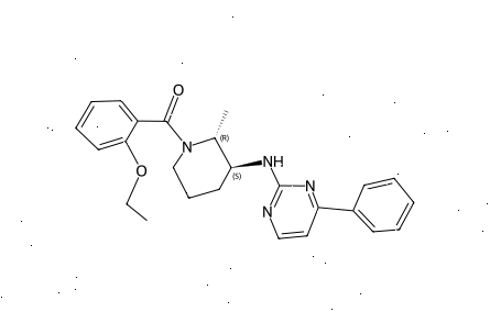 CCOc1ccccc1C(=O)N1CCC[C@H](Nc2nccc(-c3ccccc3)n2)[C@H]1C